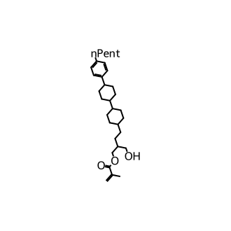 C=C(C)C(=O)OCC(CO)CCC1CCC(C2CCC(c3ccc(CCCCC)cc3)CC2)CC1